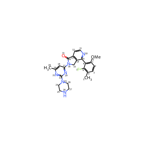 COc1ccc(C)c(F)c1-c1nccc2c1CN(c1cc(C)nc(N3CCNCC3)n1)C2=O